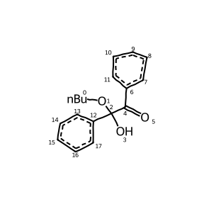 CCCCOC(O)(C(=O)c1ccccc1)c1ccccc1